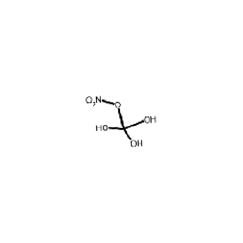 O=[N+]([O-])OC(O)(O)O